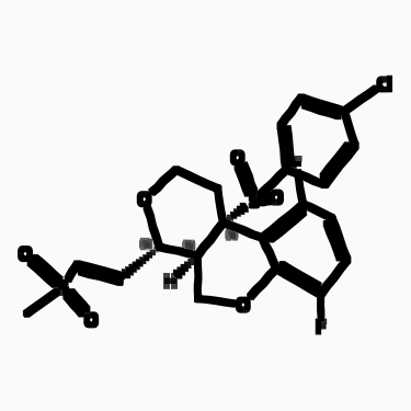 CS(=O)(=O)C=C[C@@H]1OCC[C@@]2(S(=O)(=O)c3ccc(Cl)cc3)c3c(F)ccc(F)c3OC[C@@H]12